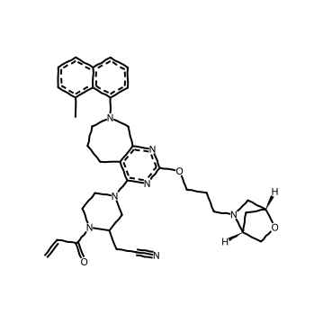 C=CC(=O)N1CCN(c2nc(OCCCN3C[C@H]4C[C@@H]3CO4)nc3c2CCCN(c2cccc4cccc(C)c24)C3)CC1CC#N